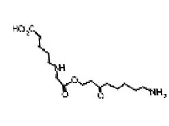 NCCCCCC(=O)CCOC(=O)CNCCCCC(=O)O